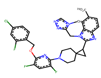 Cn1cnnc1Cn1c(C2CC23CCN(c2nc(OCc4ccc(Cl)cc4F)c(F)cc2F)CC3)nc2ccc(C(=O)O)cc21